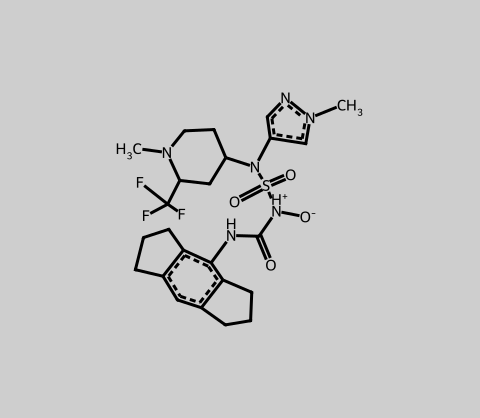 CN1CCC(N(c2cnn(C)c2)S(=O)(=O)[NH+]([O-])C(=O)Nc2c3c(cc4c2CCC4)CCC3)CC1C(F)(F)F